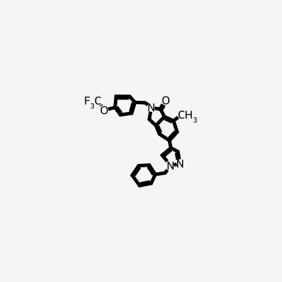 Cc1cc(-c2cnn(Cc3ccccc3)c2)cc2c1C(=O)N(Cc1ccc(OC(F)(F)F)cc1)C2